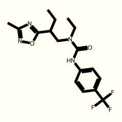 CCC(CN(CC)C(=O)Nc1ccc(C(F)(F)F)cc1)c1nc(C)no1